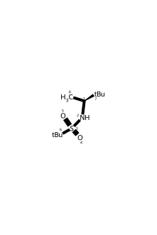 C[C@H](NS(=O)(=O)C(C)(C)C)C(C)(C)C